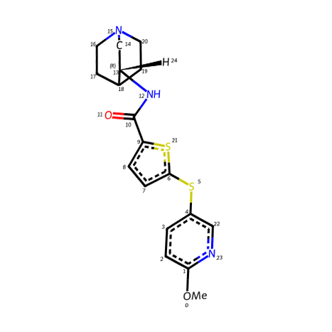 COc1ccc(Sc2ccc(C(=O)N[C@H]3CN4CCC3CC4)s2)cn1